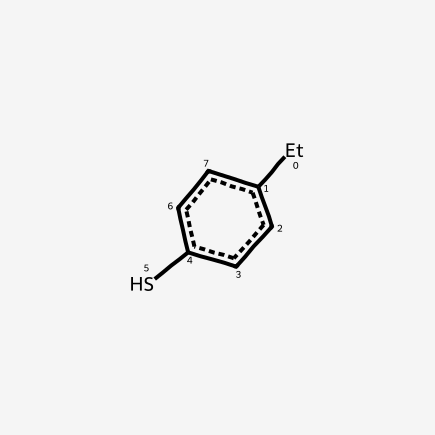 [CH2]Cc1ccc(S)cc1